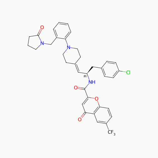 O=C(N[C@@H](C=C1CCN(c2ccccc2CN2CCCC2=O)CC1)Cc1ccc(Cl)cc1)c1cc(=O)c2cc(C(F)(F)F)ccc2o1